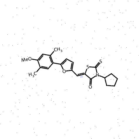 COc1cc(C)c(-c2ccc(/C=C3\SC(=S)N(C4CCCC4)C3=O)o2)cc1C